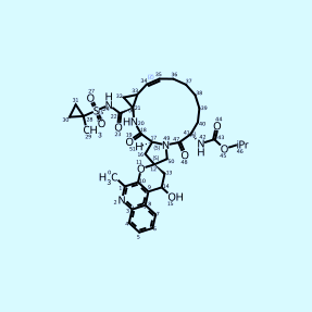 Cc1nc2ccccc2c2c1O[C@]1(CC2O)C[C@H]2C(=O)N[C@]3(C(=O)NS(=O)(=O)C4(C)CC4)CC3/C=C\CCCCC[C@H](NC(=O)OC(C)C)C(=O)N2C1